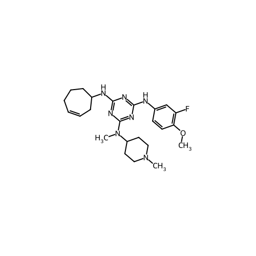 COc1ccc(Nc2nc(NC3CC=CCCC3)nc(N(C)C3CCN(C)CC3)n2)cc1F